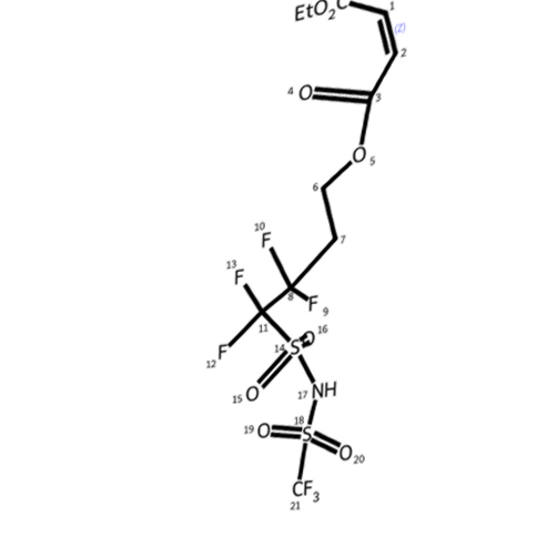 CCOC(=O)/C=C\C(=O)OCCC(F)(F)C(F)(F)S(=O)(=O)NS(=O)(=O)C(F)(F)F